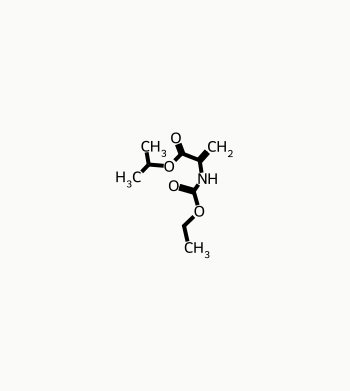 C=C(NC(=O)OCC)C(=O)OC(C)C